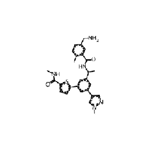 CNC(=O)c1ccc(-c2cc(-c3cnn(C)c3)cc(C(C)NC(=O)c3cc(CN)ccc3C)c2)s1